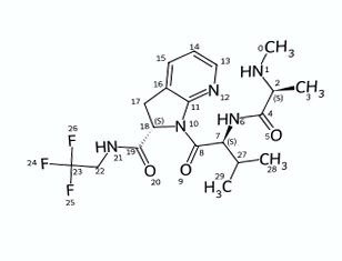 CN[C@@H](C)C(=O)N[C@H](C(=O)N1c2ncccc2C[C@H]1C(=O)NCC(F)(F)F)C(C)C